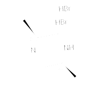 Br.Br.C[C@H]1CN(C)[C@@H](C)CN1